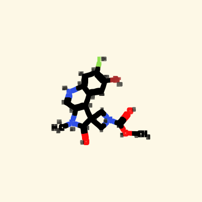 COC(=O)N1CC2(C1)C(=O)N(C)c1cnc3cc(F)c(Br)cc3c12